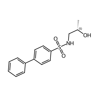 C[C@H](O)CNS(=O)(=O)c1ccc(-c2ccccc2)cc1